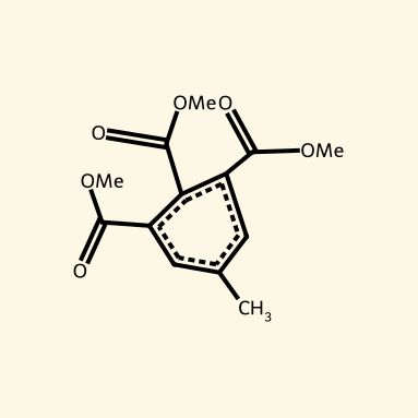 COC(=O)c1cc(C)cc(C(=O)OC)c1C(=O)OC